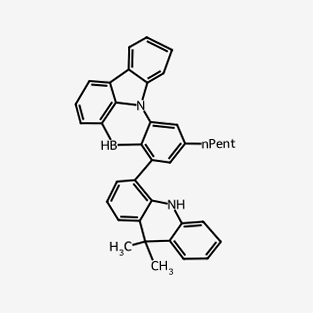 CCCCCc1cc(-c2cccc3c2Nc2ccccc2C3(C)C)c2c(c1)-n1c3ccccc3c3cccc(c31)B2